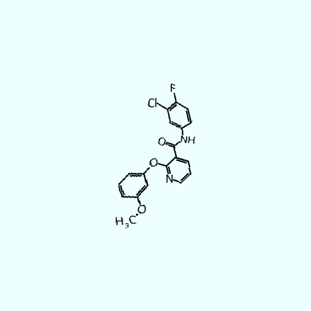 COc1cccc(Oc2ncccc2C(=O)Nc2ccc(F)c(Cl)c2)c1